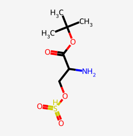 CC(C)(C)OC(=O)C(N)CO[SH](=O)=O